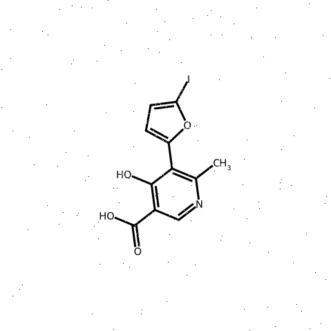 Cc1ncc(C(=O)O)c(O)c1-c1ccc(I)o1